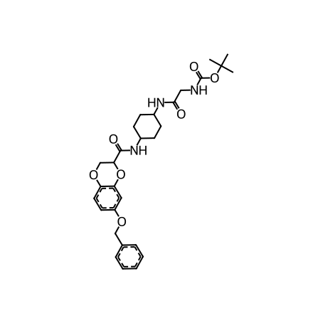 CC(C)(C)OC(=O)NCC(=O)NC1CCC(NC(=O)C2COc3ccc(OCc4ccccc4)cc3O2)CC1